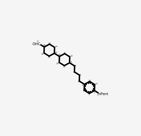 CCCCCc1ccc(CCCCC2CCC(C3CCC(C=O)CC3)CC2)cc1